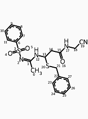 CC(=NS(=O)(=O)c1ccccc1)NC(CC(=O)NCC#N)SCc1ccccc1